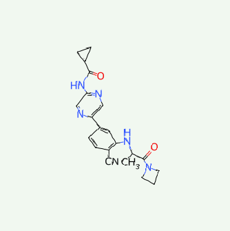 CC(Nc1cc(-c2cnc(NC(=O)C3CC3)cn2)ccc1C#N)C(=O)N1CCC1